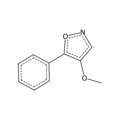 COc1[c]noc1-c1ccccc1